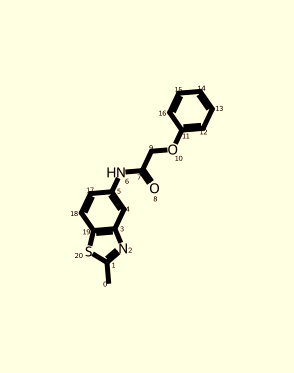 Cc1nc2cc(NC(=O)COc3ccccc3)ccc2s1